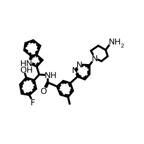 Cc1cc(C(=O)NC(c2cc3ccccc3[nH]2)c2cc(F)ccc2O)cc(-c2ccc(N3CCC(N)CC3)nn2)c1